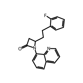 O=C1CC(CCc2ccccc2F)N1c1cccc2cccnc12